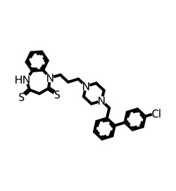 S=C1CC(=S)N(CCCN2CCN(Cc3ccccc3-c3ccc(Cl)cc3)CC2)c2ccccc2N1